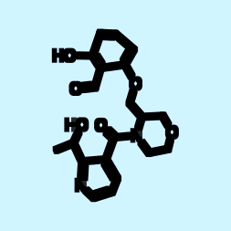 CC(O)c1ncccc1C(=O)N1CCOCC1COc1cccc(O)c1C=O